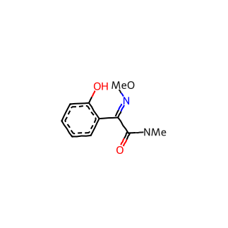 CNC(=O)/C(=N/OC)c1ccccc1O